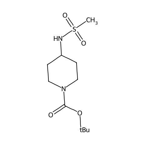 CC(C)(C)OC(=O)N1CCC(NS(C)(=O)=O)CC1